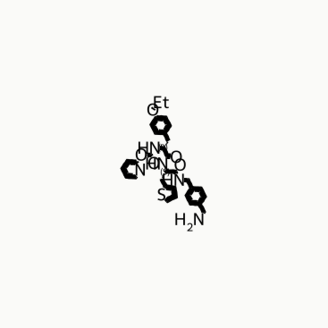 CCOc1ccc(C[C@@H](NC(=O)Oc2ccccn2)C(=O)N[C@@H](Cc2cccs2)C(=O)NCc2ccc(CN)cc2)cc1